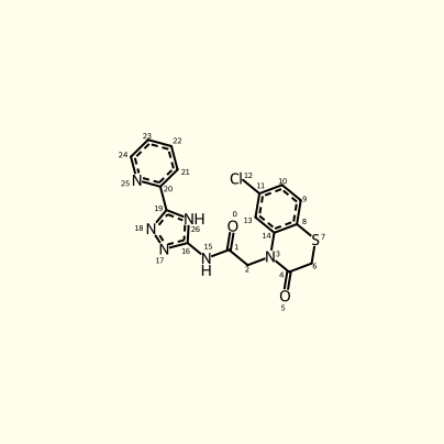 O=C(CN1C(=O)CSc2ccc(Cl)cc21)Nc1nnc(-c2ccccn2)[nH]1